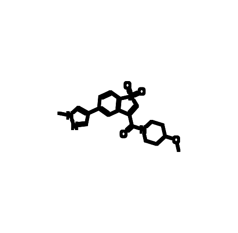 COC1CCN(C(=O)C2=CS(=O)(=O)c3ccc(-c4cnn(C)c4)cc32)CC1